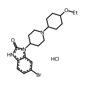 CCOC1CCC(N2CCC(n3c(=O)[nH]c4ccc(Br)cc43)CC2)CC1.Cl